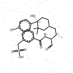 C[C@@H](CN1CC[C@](O)(c2ccc(Cl)cc2)C(C)(C)C1)C(C=O)NC(=O)c1cccc(CS(=O)(=O)O)c1